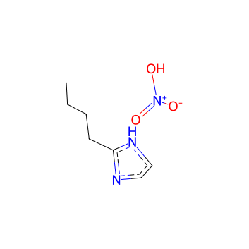 CCCCc1ncc[nH]1.O=[N+]([O-])O